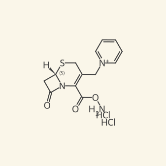 Cl.Cl.NOC(=O)C1=C(C[n+]2ccccc2)CS[C@H]2CC(=O)N12